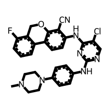 CN1CCN(c2ccc(Nc3ncc(Cl)c(Nc4ccc5c(c4C#N)OCc4c(F)cccc4-5)n3)cc2)CC1